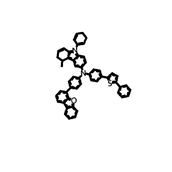 CC1CC=Cc2c1c1cc(N(c3ccc(-c4ccc(-c5ccccc5)s4)cc3)c3ccc(-c4cccc5c4oc4ccccc45)cc3)ccc1n2C1=CCCC=C1